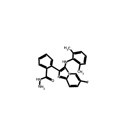 Cc1cccc(C)c1Nc1c(-c2ccccc2C(=O)NN)nc2ccc(F)cn12